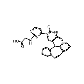 O=C(O)CNc1nccc(-n2cc(C3c4ccccc4C=Cc4ccccc43)c(=S)[nH]c2=O)n1